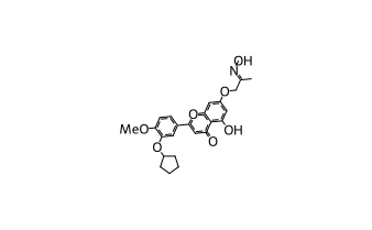 COc1ccc(-c2cc(=O)c3c(O)cc(OCC(C)=NO)cc3o2)cc1OC1CCCC1